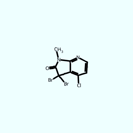 CN1C(=O)C(Br)(Br)c2c(Cl)ccnc21